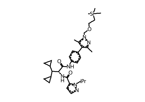 Cc1nn(COCC[Si](C)(C)C)c(C)c1-c1ccc(NC(=O)[C@@H](NC(=O)c2ccnn2C(C)C)C(C2CC2)C2CC2)cc1